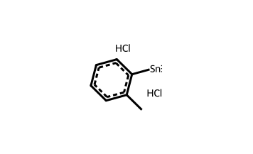 Cc1cccc[c]1[Sn].Cl.Cl